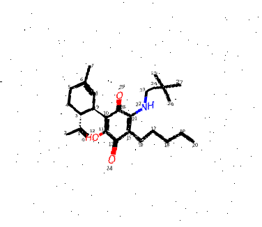 C=C(C)[C@@H]1CCC(C)=C[C@H]1C1=C(O)C(=O)C(CCCCC)=C(NCC(C)(C)C)C1=O